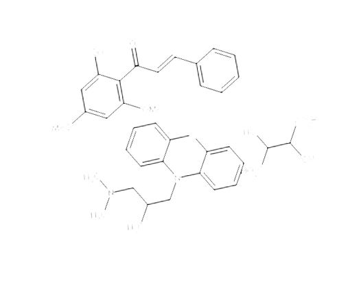 CC(CN(C)C)CN1c2ccccc2Sc2ccccc21.COc1cc(O)c(C(=O)C=Cc2ccccc2)c(OC)c1.O=C(O)C(O)C(O)C(=O)O